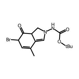 CC1=CC(Br)C(=O)C2CN(NC(=O)OC(C)(C)C)C=C12